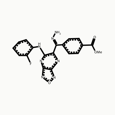 COC(=O)c1ccc(C(=NN)c2nc3nonc3nc2Nc2ccccc2F)cc1